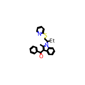 CCC(CSc1ccccn1)n1c(C)c(C(=O)c2ccccc2)c2ccccc21